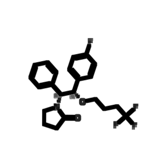 O=C1CCCN1[C@H](c1ccccc1)[C@@H](OCCCC(F)(F)F)c1ccc(F)cc1